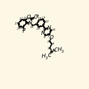 CN(C)CCCOc1cnc(-c2cccc(Cn3c(=O)oc4cccc(F)c43)c2)nc1